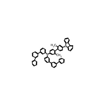 Cc1cc(N(c2cccc(-c3cccc(-c4ccccc4)c3)c2)c2cccc(-c3cccc(-c4ccccc4)c3)c2)ccc1-c1ccc(-n2c3ccccc3c3ccccc32)cc1C